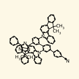 CC1(C)c2ccccc2-c2ccc3c(c21)c1ccccc1n3-c1ccc(-c2nc(-c3ccccc3)nc(-c3ccccc3)n2)cc1-c1ccc(-c2ccc(C#N)cc2)cc1-n1c2ccccc2c2c3c(ccc21)-c1ccccc1C3(C)C